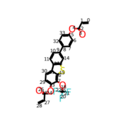 C=CC(=O)Oc1ccc(-c2ccc3c(c2)sc2c(OC(F)(F)F)c(OC(=O)C=C)ccc23)cc1